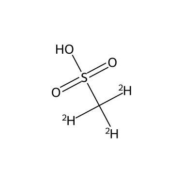 [2H]C([2H])([2H])S(=O)(=O)O